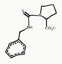 O=C(O)C1CCCN1C(=S)NCc1ccccc1